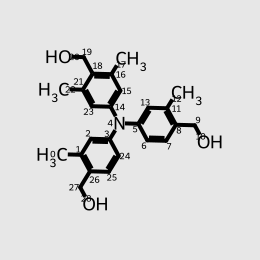 Cc1cc(N(c2ccc(CO)c(C)c2)c2cc(C)c(CO)c(C)c2)ccc1CO